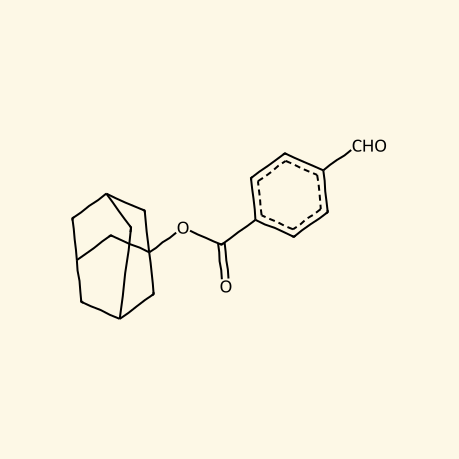 O=Cc1ccc(C(=O)OC23CC4CC(CC(C4)C2)C3)cc1